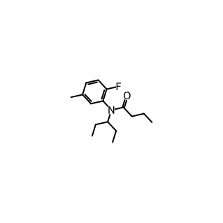 CCCC(=O)N(c1cc(C)ccc1F)C(CC)CC